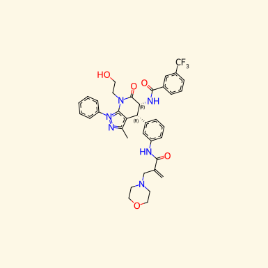 C=C(CN1CCOCC1)C(=O)Nc1cccc([C@@H]2c3c(C)nn(-c4ccccc4)c3N(CCO)C(=O)[C@@H]2NC(=O)c2cccc(C(F)(F)F)c2)c1